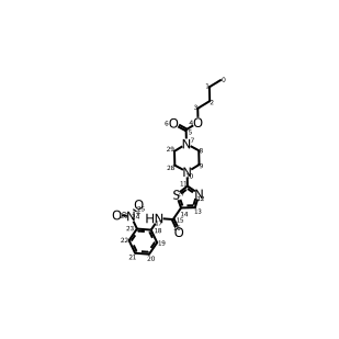 CCCCOC(=O)N1CCN(c2ncc(C(=O)Nc3ccccc3[N+](=O)[O-])s2)CC1